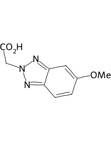 COc1ccc2nn(CC(=O)O)nc2c1